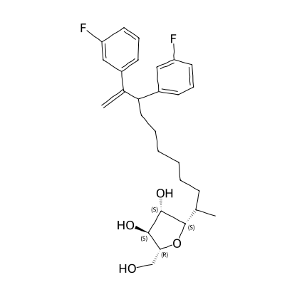 C=C(c1cccc(F)c1)C(CCCCCCC(C)[C@@H]1O[C@H](CO)[C@@H](O)[C@@H]1O)c1cccc(F)c1